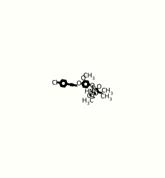 CCS(=O)(=O)NN(Oc1ccc(OCC#Cc2ccc(Cl)cc2)c(OC)c1)C(=O)CC(C)C